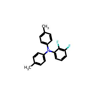 Cc1ccc(N(c2ccc(C)cc2)c2cccc(F)c2F)cc1